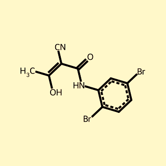 CC(O)=C(C#N)C(=O)Nc1cc(Br)ccc1Br